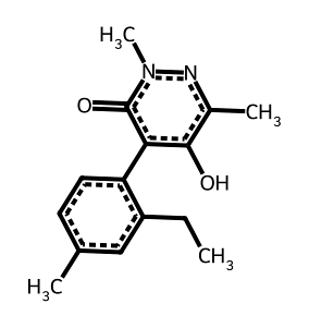 CCc1cc(C)ccc1-c1c(O)c(C)nn(C)c1=O